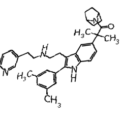 Cc1cc(C)cc(-c2[nH]c3ccc(C(C)(C)C(=O)N4C5CCC4CC5)cc3c2CCNCCc2cccnc2)c1